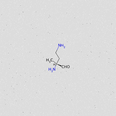 C[C@](N)(C=O)CCN